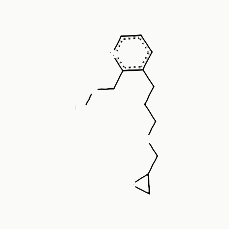 [SiH3]OCc1ncccc1CCCOCC1CO1